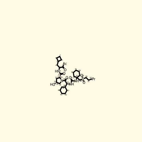 CC(=O)C(=O)C(CC1CCC1)NC(=O)[C@@H]1C[C@@H](O)CN1C(=O)[C@@H](NC(=O)NC1(CS(=O)(=O)CCC(C)C)CCCCC1)C1CCCCC1